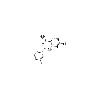 Cc1cccc(CNc2nc(Cl)ncc2C(N)=O)c1